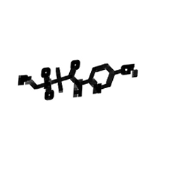 CC(C)CS(=O)(=O)C(C)(C)C(=O)Nc1ccc(C(F)(F)F)cn1